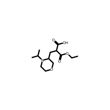 CCOC(=O)C(CC1COCCN1C(C)C)C(=O)O